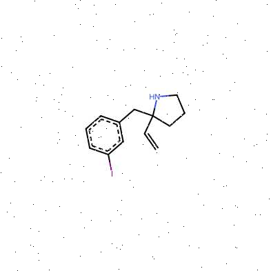 C=CC1(Cc2cccc(I)c2)CCCN1